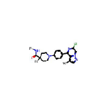 CCC1(C(=O)NC(C)C)CCN(c2ccc(-c3nc(Cl)cn4ncc(C#N)c34)cc2)CC1